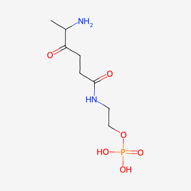 CC(N)C(=O)CCC(=O)NCCOP(=O)(O)O